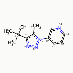 Cc1c([Si](C)(C)C)nnn1-c1cccnc1